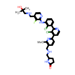 COc1nc(-c2ccnc(-c3cccc(Nc4nccc(CNCC(C)(C)O)c4F)c3Cl)c2Cl)ccc1CNCC1CCC(=O)N1